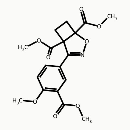 COC(=O)c1cc(C2=NOC3(C(=O)OC)CCC23C(=O)OC)ccc1OC